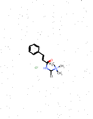 CCC(NC(=O)C=Cc1ccccc1)[N+](C)(C)C.[Cl-]